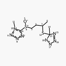 CC(CC[S+]([O-])c1nnnn1C)SC1(C)N=NN=N1